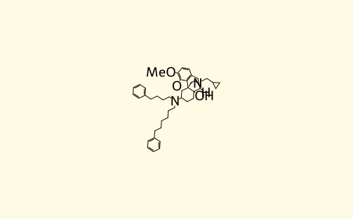 COc1ccc2c3c1OC1C(N(CCCCCCc4ccccc4)CCCCc4ccccc4)CC[C@@]4(O)[C@@H](C2)N(CC2CC2)CC[C@]314